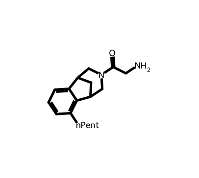 CCCCCc1cccc2c1C1CC2CN(C(=O)CN)C1